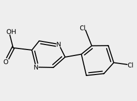 O=C(O)c1cnc(-c2ccc(Cl)cc2Cl)cn1